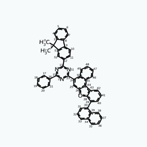 CC1(C)c2ccccc2-c2ccc(-c3nc(-c4ccccc4)nc(-c4cc5oc6c(-c7cccc8ccccc78)cccc6c5c5ccccc45)n3)cc21